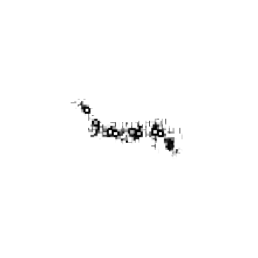 Nc1c(N=Nc2ccc3c(O)c(N=Nc4cc5c(O)c(N=Nc6ccc(N=Nc7ccc(S(=O)(=O)O)cc7)cc6S(=O)(=O)O)c(S(=O)(=O)O)cc5cc4S(=O)(=O)O)c(S(=O)(=O)O)cc3c2S(=O)(=O)O)cc(S(=O)(=O)O)c2cc(S(=O)(=O)O)c(N=Nc3ccc([N+](=O)[O-])cc3S(=O)(=O)O)c(O)c12